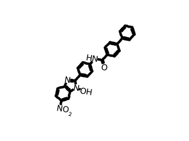 O=C(Nc1ccc(-c2nc3ccc([N+](=O)[O-])cc3n2O)cc1)c1ccc(-c2ccccc2)cc1